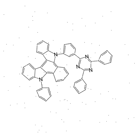 c1ccc(-c2nc(-c3ccccc3)nc(-c3cccc(-n4c5ccccc5c5c6c7ccccc7n(-c7ccccc7)c6c6ccccc6c54)c3)n2)cc1